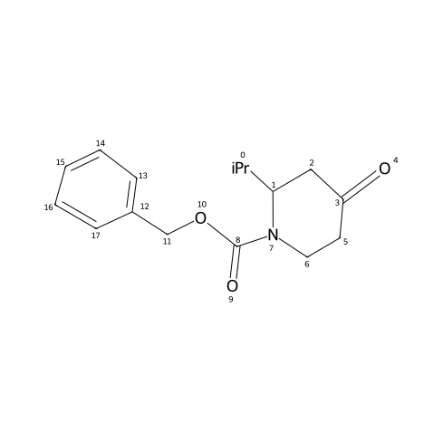 CC(C)C1CC(=O)CCN1C(=O)OCc1ccccc1